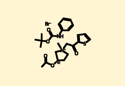 CC(=O)O[C@@H]1CC[N+](C)(CC(=O)c2cccs2)C1.CC(C)(C)OC(=O)Nc1ccccc1.[Br-]